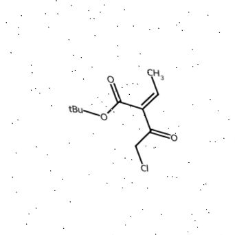 C/C=C(/C(=O)CCl)C(=O)OC(C)(C)C